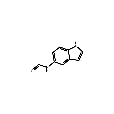 O=CNc1ccc2[nH]ccc2c1